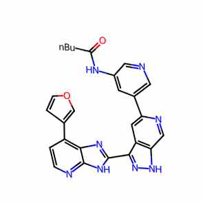 CCCCC(=O)Nc1cncc(-c2cc3c(-c4nc5c(-c6ccoc6)ccnc5[nH]4)n[nH]c3cn2)c1